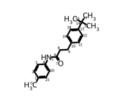 Cc1ccc(NC(=O)CCc2ccc(C(C)(C)C)cc2)cc1